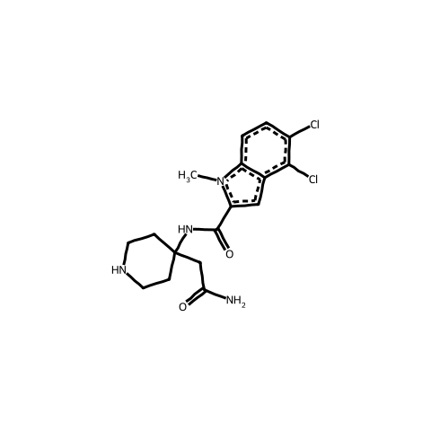 Cn1c(C(=O)NC2(CC(N)=O)CCNCC2)cc2c(Cl)c(Cl)ccc21